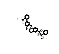 CC(NC(=O)c1ccc2c(c1)CCCN2Cc1cc(-c2ccccc2C(=O)O)ccc1F)c1ccccc1